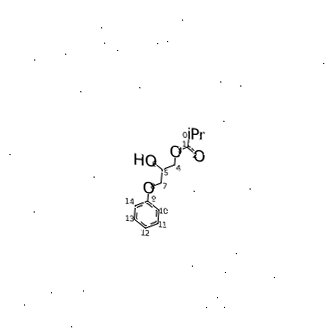 CC(C)C(=O)OCC(O)COc1ccccc1